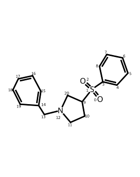 O=S(=O)(c1ccccc1)C1CCN(Cc2ccccc2)C1